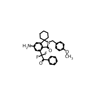 COc1ccc(CN2C(=O)c3c(C(F)(F)C(=O)c4ccccc4)cc(N)cc3C23CCCCC3)cc1